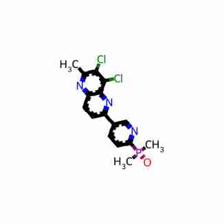 Cc1nc2ccc(-c3ccc(P(C)(C)=O)nc3)nc2c(Cl)c1Cl